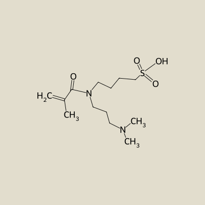 C=C(C)C(=O)N(CCCCS(=O)(=O)O)CCCN(C)C